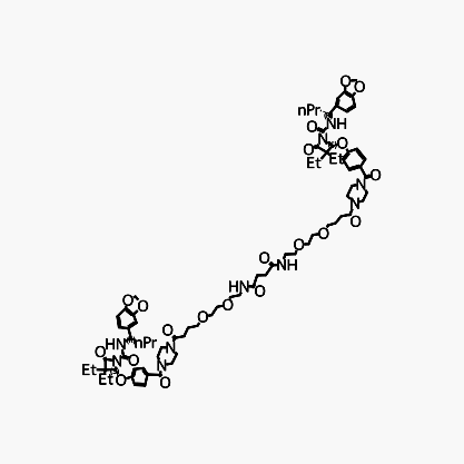 CCC[C@@H](NC(=O)N1C(=O)C(CC)(CC)[C@@H]1Oc1ccc(C(=O)N2CCN(C(=O)CCCOCCOCCNC(=O)CCC(=O)NCCOCCOCCCC(=O)N3CCN(C(=O)c4ccc(O[C@@H]5N(C(=O)N[C@H](CCC)c6ccc7c(c6)OCO7)C(=O)C5(CC)CC)cc4)CC3)CC2)cc1)c1ccc2c(c1)OCO2